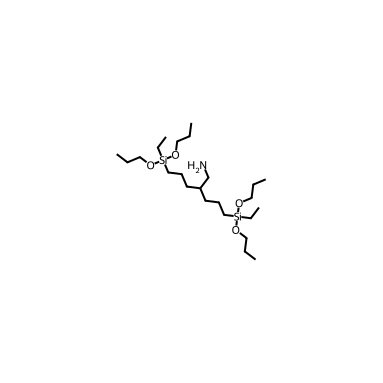 CCCO[Si](CC)(CCCC(CN)CCC[Si](CC)(OCCC)OCCC)OCCC